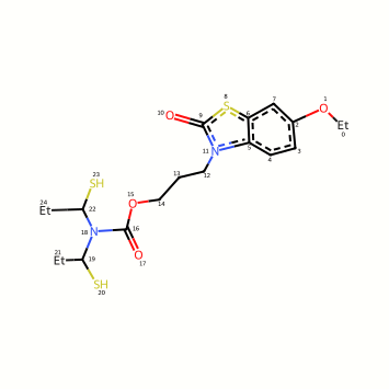 CCOc1ccc2c(c1)sc(=O)n2CCCOC(=O)N(C(S)CC)C(S)CC